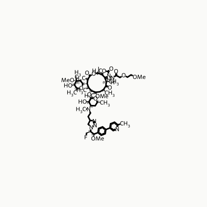 COCCOCC(=O)NN1C(=O)O[C@]2(C)[C@@H](I)OC(=O)[C@H](C)C([C@H]3C[C@@](C)(OC)[C@@H](O)[C@H](C)O3)[C@H](C)[C@@H](O[C@@H]3O[C@H](C)C[C@H](N(C)CCC4CN([C@H](CF)[C@H](OC)c5ccc(-c6ccc(C)nc6)cc5)N=N4)[C@H]3O)[C@](C)(OC)C[C@@H](C)C(=O)[C@H](C)[C@@H]12